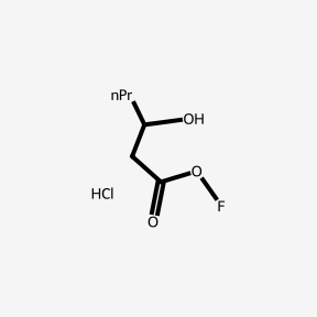 CCCC(O)CC(=O)OF.Cl